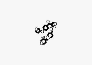 O=C(c1ccc(OC2CCOC2)cc1)c1conc1OCC1CCN(CC2(O)CCOCC2)CC1